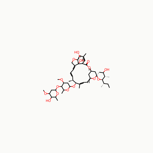 CC[C@H](C)[C@H]1O[C@]2(CC(O)[C@@H]1C)C[C@@H]1C[C@@H](C/C=C(\C)[C@@H](OC3CC(OC)C(OC4CC(OC)C(O)C(C)O4)C(C)O3)[C@@H](C)/C=C/C=C3\CO[C@@H]4[C@H](O)C(C)=C[C@@H](C(=O)O1)[C@]34O)O2